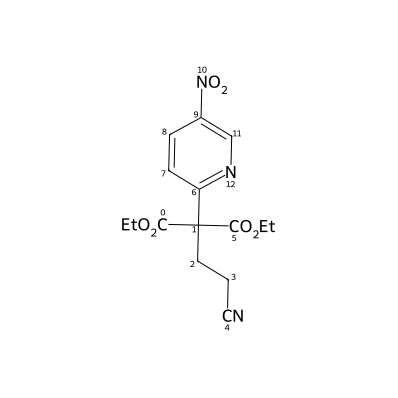 CCOC(=O)C(CCC#N)(C(=O)OCC)c1ccc([N+](=O)[O-])cn1